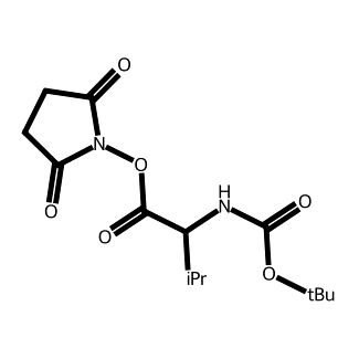 CC(C)C(NC(=O)OC(C)(C)C)C(=O)ON1C(=O)CCC1=O